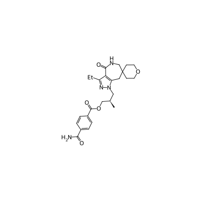 CCc1nn(C[C@@H](C)COC(=O)c2ccc(C(N)=O)cc2)c2c1C(=O)NCC1(CCOCC1)C2